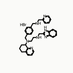 Br.c1ccc(CNCc2ccc(CN(CCNCc3nc4ccccc4[nH]3)C3CCCc4cccnc43)cc2)nc1